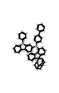 c1ccc(-c2ccc(N(c3ccc4c5ccccc5n(-c5ccccc5)c4c3)c3cccc4c3-c3ccccc3C43C4CC5CC(C4)CC3C5)cc2)cc1